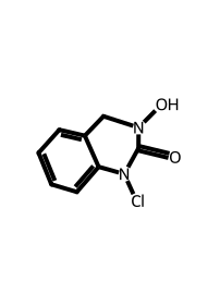 O=C1N(O)Cc2ccccc2N1Cl